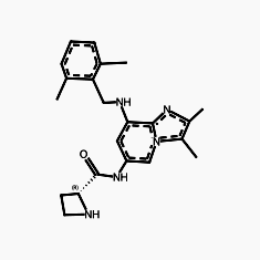 Cc1cccc(C)c1CNc1cc(NC(=O)[C@H]2CCN2)cn2c(C)c(C)nc12